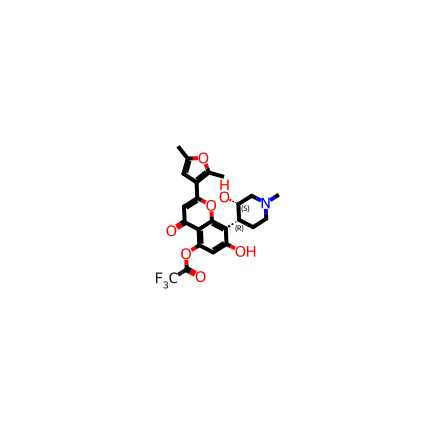 Cc1cc(-c2cc(=O)c3c(OC(=O)C(F)(F)F)cc(O)c([C@H]4CCN(C)C[C@H]4O)c3o2)c(C)o1